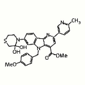 COC(=O)c1cc(-c2ccc(C)nc2)nc2c3ccc(N4CCSCC4(O)O)cc3n(Cc3ccc(OC)cc3)c12